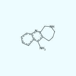 Nc1c2c(nc3ccccc13)CNCCC2